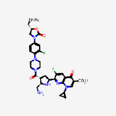 CC(=O)NC[C@H]1CN(c2ccc(N3CCN(C(=O)[C@@H]4CC(c5nc6c(cc5F)c(=O)c(C(=O)O)cn6C5CC5)N[C@H]4CN)CC3)c(F)c2)C(=O)O1